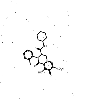 Cc1ccccc1N1C(=O)c2c(O)c(=O)c(C(=O)O)cn2CC1C(=O)NC1CCCCC1